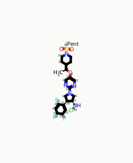 CCC[C@@H](C)S(=O)(=O)N1CCC([C@H](C)Oc2cnc(N3C[C@H](NCl)[C@@H](C4=CC(F)C(F)C=C4F)C3)nc2)CC1